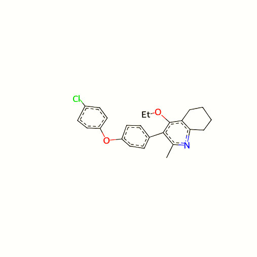 CCOc1c2c(nc(C)c1-c1ccc(Oc3ccc(Cl)cc3)cc1)CCCC2